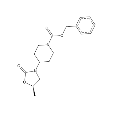 C[C@@H]1CN(C2CCN(C(=O)OCc3ccccc3)CC2)C(=O)O1